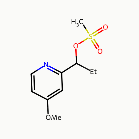 CCC(OS(C)(=O)=O)c1cc(OC)ccn1